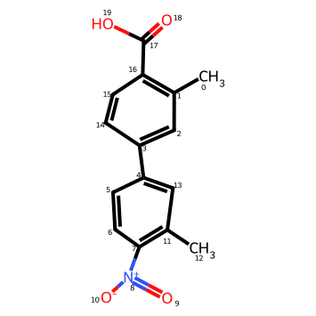 Cc1cc(-c2ccc([N+](=O)[O-])c(C)c2)ccc1C(=O)O